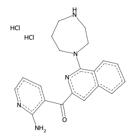 Cl.Cl.Nc1ncccc1C(=O)c1cc2ccccc2c(N2CCCNCC2)n1